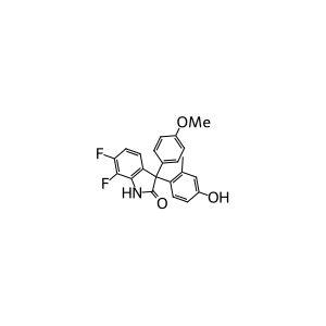 COc1ccc(C2(c3ccc(O)cc3C)C(=O)Nc3c2ccc(F)c3F)cc1